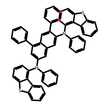 c1ccc(-c2cc3c(-c4ccccc4)cc(N(c4ccccc4)c4cccc5sc6ccccc6c45)cc3cc2N(c2ccccc2)c2cccc3sc4ccccc4c23)cc1